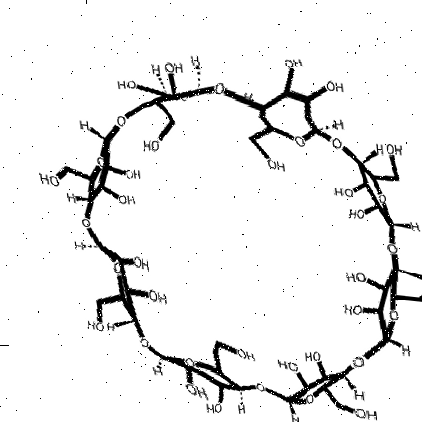 OCC1O[C@@H]2O[C@@H]3C(CO)O[C@H](O[C@@H]4C(CO)O[C@H](O[C@@H]5C(CO)O[C@H](O[C@@H]6C(CO)O[C@H](O[C@@H]7C(CO)O[C@H](O[C@@H]8C(CO)O[C@@H](O[C@@H]9C(CO)O[C@H](OC1[C@@H](O)C2O)C(O)C9O)C(O)C8O)C(O)C7O)C(O)C6O)C(O)C5O)C(O)C4O)C(O)C3O